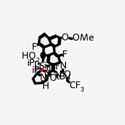 COCOc1cc(-c2c(C(=O)O)cc3c(N4C[C@H]5CC[C@@H](C4)N5C(=O)OC(C)(C)C)nc(OCC(F)(F)F)nc3c2F)c2c(C#C[Si](C(C)C)(C(C)C)C(C)C)c(F)ccc2c1